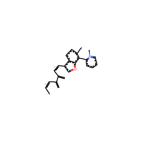 C=C(/C=C\C)C(=C)/C=C\c1coc2c(-c3cccc[n+]3C)c(C)ccc12